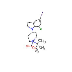 CC(C)(C)[N+]1(C(=O)[O-])CCC(N2CCc3cc(I)cc(F)c32)CC1